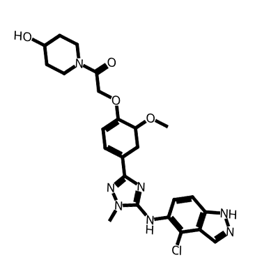 COC1CC(c2nc(Nc3ccc4[nH]ncc4c3Cl)n(C)n2)=CC=C1OCC(=O)N1CCC(O)CC1